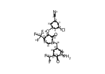 N#Cc1cc(Cl)cc(Oc2c(C(F)(F)F)ncn(Cc3cc(C(F)F)c(=O)n(P)n3)c2=O)c1